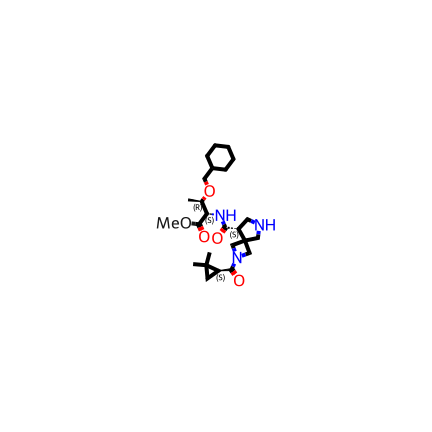 COC(=O)[C@@H](NC(=O)[C@@H]1CNCC12CN(C(=O)[C@H]1CC1(C)C)C2)[C@@H](C)OCC1CCCCC1